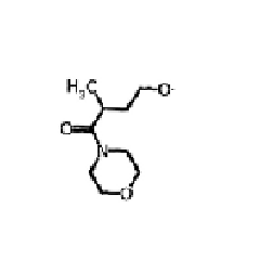 CC(CC[O])C(=O)N1CCOCC1